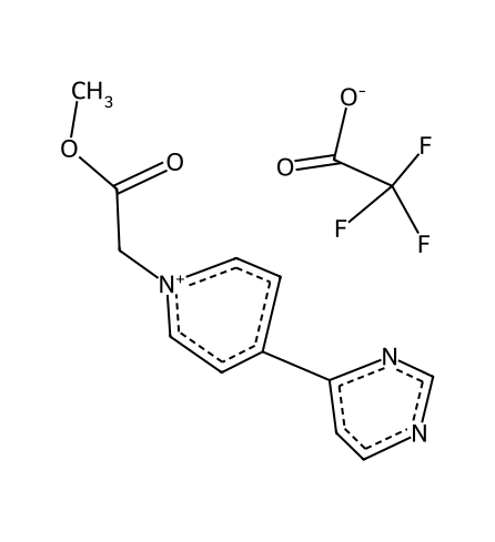 COC(=O)C[n+]1ccc(-c2ccncn2)cc1.O=C([O-])C(F)(F)F